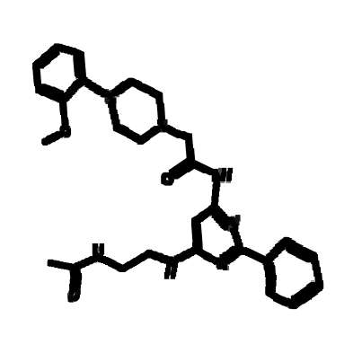 COc1ccccc1N1CCN(CC(=O)Nc2cc(NCCNC(C)=O)nc(-c3ccccc3)n2)CC1